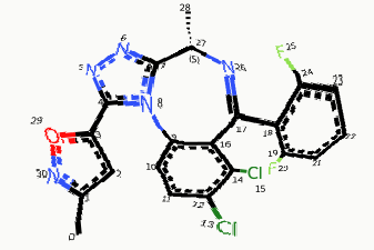 Cc1cc(-c2nnc3n2-c2ccc(Cl)c(Cl)c2C(c2c(F)cccc2F)=N[C@H]3C)on1